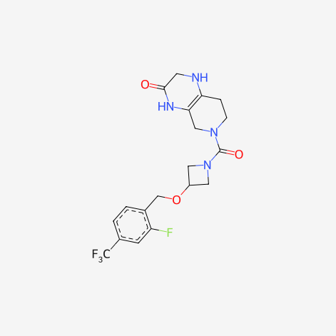 O=C1CNC2=C(CN(C(=O)N3CC(OCc4ccc(C(F)(F)F)cc4F)C3)CC2)N1